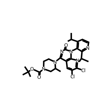 CC(C)c1ccnc(C(C)C)c1-n1c(=O)nc(N2CCN(C(=O)OC(C)(C)C)CC2C)c2cc(Cl)c(Cl)nc21